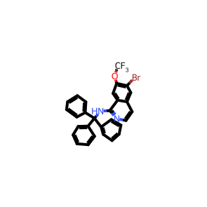 FC(F)(F)Oc1cc2c(NC(c3ccccc3)(c3ccccc3)c3ccccc3)nccc2cc1Br